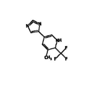 CC1=CC(C2=CN=C=N2)=CNC1C(F)(F)F